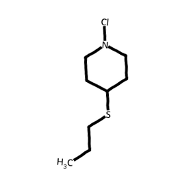 CCCSC1CCN(Cl)CC1